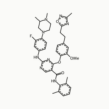 COc1cc(CCc2nc(C)no2)ccc1Oc1nc(Nc2ccc(N3CCN(C)C(C)C3)c(F)c2)ncc1C(=O)Nc1c(C)cccc1C